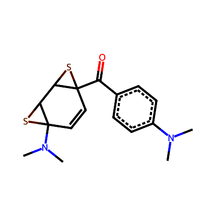 CN(C)c1ccc(C(=O)C23C=CC4(N(C)C)SC4C2S3)cc1